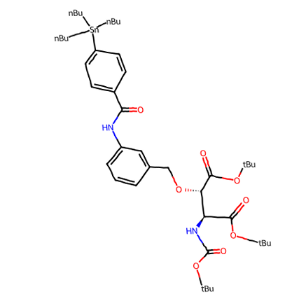 CCC[CH2][Sn]([CH2]CCC)([CH2]CCC)[c]1ccc(C(=O)Nc2cccc(CO[C@H](C(=O)OC(C)(C)C)[C@H](NC(=O)OC(C)(C)C)C(=O)OC(C)(C)C)c2)cc1